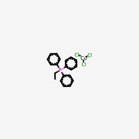 CC[P+](c1ccccc1)(c1ccccc1)c1ccccc1.[Cl][Cu-]([Cl])[Cl]